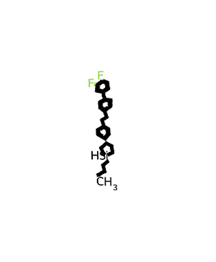 CCCCC[Si@H]1CC[C@H](c2ccc(CCc3ccc(-c4ccc(F)c(F)c4)cc3)cc2)CC1